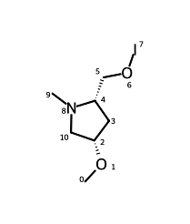 CO[C@H]1C[C@@H](COI)N(C)C1